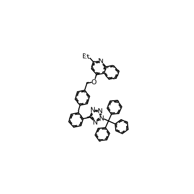 CCc1cc(OCc2ccc(-c3ccccc3-c3nnn(C(c4ccccc4)(c4ccccc4)c4ccccc4)n3)cc2)c2ccccc2n1